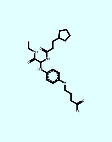 CCNC(=O)C(NC(=O)CCC1CCCC1)Nc1ccc(OCCCC(=O)O)cc1